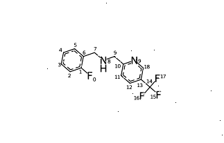 Fc1ccccc1CNCc1ccc(C(F)(F)F)cn1